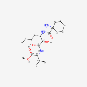 CCCC[C@H](NC(=O)C1(N)CCCCC1)C(=O)C(=O)N[C@@H](C(=O)OC)C(C)C